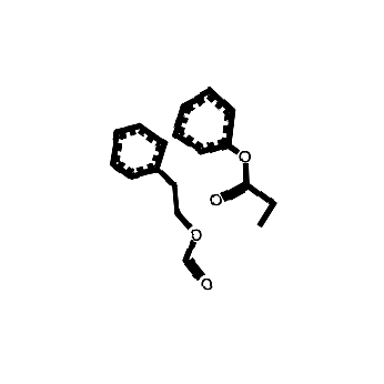 CCC(=O)Oc1ccccc1.O=COCCc1ccccc1